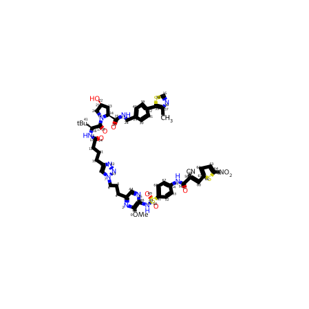 COc1nc(CCCn2cc(CCCC(=O)N[C@H](C(=O)N3C[C@H](O)C[C@H]3C(=O)NCc3ccc(-c4scnc4C)cc3)C(C)(C)C)nn2)cnc1NS(=O)(=O)c1ccc(NC(=O)/C(C#N)=C/c2ccc([N+](=O)[O-])s2)cc1